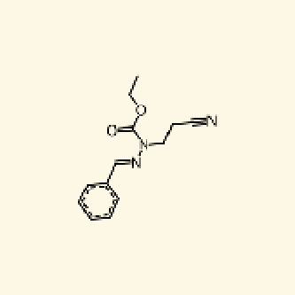 CCOC(=O)N(CCC#N)N=Cc1ccccc1